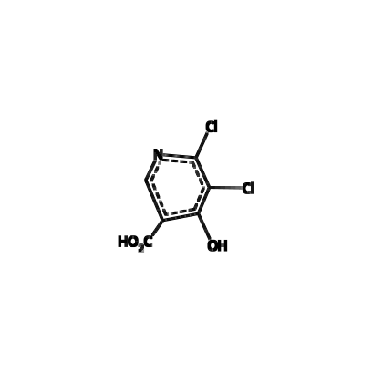 O=C(O)c1cnc(Cl)c(Cl)c1O